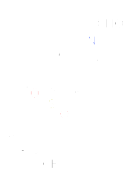 O=CN1CC2(CCC(S(=O)(=O)c3cccc(C(F)(F)F)c3)CC2)C1